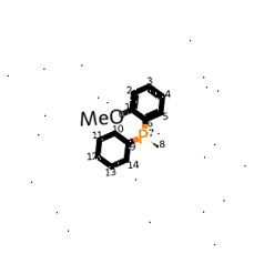 COc1ccccc1[P@](C)C1CCCCC1